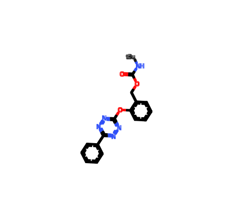 CC(C)(C)NC(=O)OCc1ccccc1Oc1nnc(-c2ccccc2)nn1